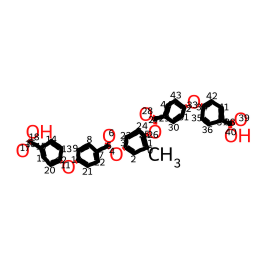 Cc1cc(OC(=O)c2ccc(Oc3ccc(C(=O)O)cc3)cc2)ccc1OC(=O)c1ccc(Oc2ccc(C(=O)O)cc2)cc1